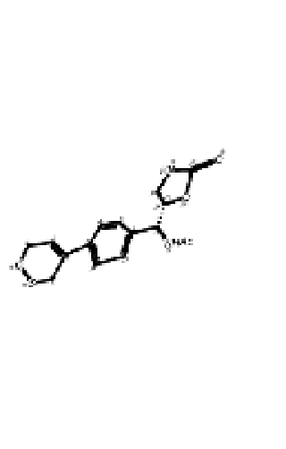 CC(=O)NC(c1ccc(C2=CCOSC2)cc1)[C@@H]1CNC(=O)O1